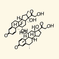 C[C@@H]1C[C@H]2[C@@H]3CCC4=CC(=O)C=C[C@]4(C)[C@@]3(F)[C@@H](O)C[C@]2(C)[C@@]1(O)C(=O)CO.C[C@H]1C[C@@H]2[C@H]([C@@H](O)C[C@@]3(C)[C@H]2CC[C@]3(O)C(=O)CO)[C@@]2(C)C=CC(=O)C=C12